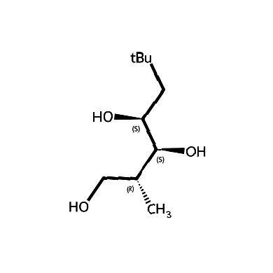 C[C@H](CO)[C@H](O)[C@@H](O)CC(C)(C)C